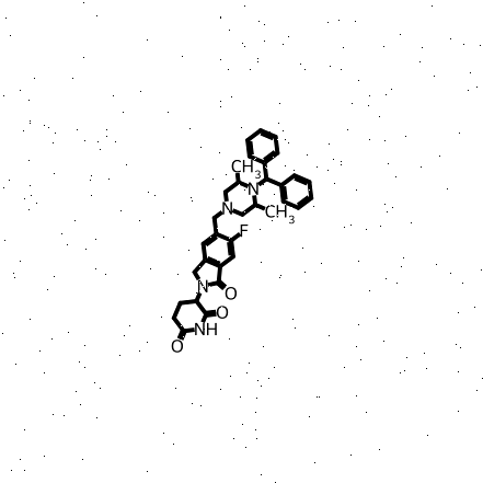 CC1CN(Cc2cc3c(cc2F)C(=O)N(C2CCC(=O)NC2=O)C3)CC(C)N1C(c1ccccc1)c1ccccc1